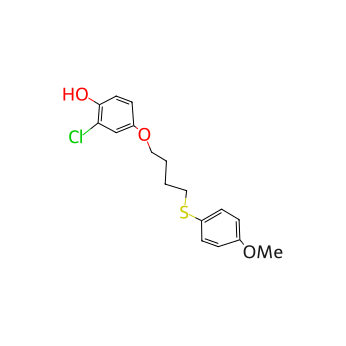 COc1ccc(SCCCCOc2ccc(O)c(Cl)c2)cc1